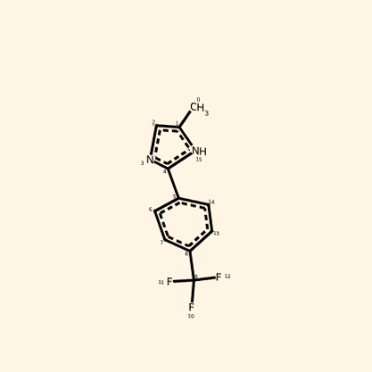 Cc1[c]nc(-c2ccc(C(F)(F)F)cc2)[nH]1